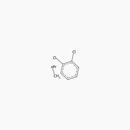 CCCC.Clc1ccccc1Cl